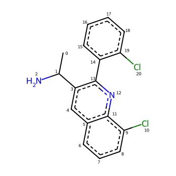 CC(N)c1cc2cccc(Cl)c2nc1-c1ccccc1Cl